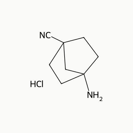 Cl.N#CC12CCC(N)(CC1)C2